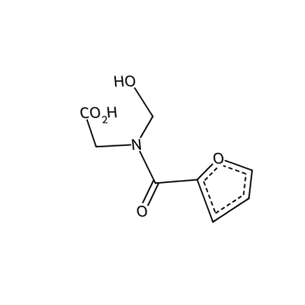 O=C(O)CN(CO)C(=O)c1ccco1